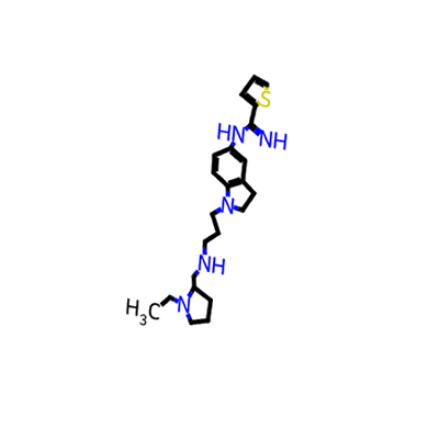 CCN1CCCC1CNCCCN1CCc2cc(NC(=N)c3cccs3)ccc21